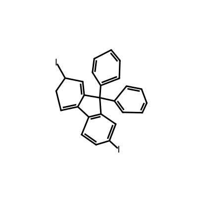 Ic1ccc2c(c1)C(c1ccccc1)(c1ccccc1)C1=CC(I)CC=C12